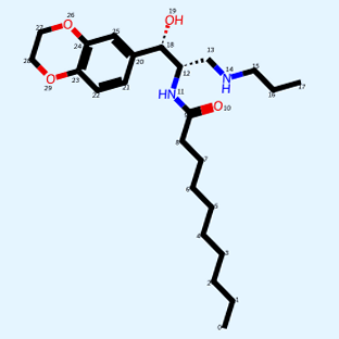 CCCCCCCCCC(=O)N[C@@H](CNCCC)[C@@H](O)c1ccc2c(c1)OCCO2